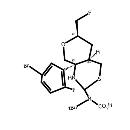 CC(C)(C)N(C(=O)O)C1N[C@@]2(c3cc(Br)ccc3F)CO[C@@H](CF)C[C@H]2CS1